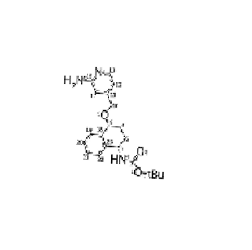 CC(C)(C)OC(=O)N[C@H]1CC[C@H](OCc2ccnc(N)c2)c2ccccc21